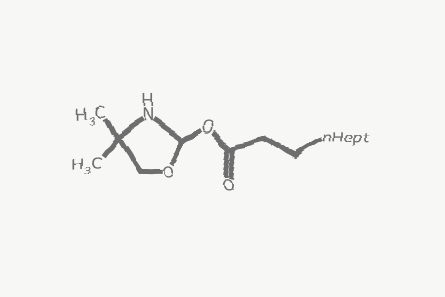 CCCCCCCCCC(=O)OC1NC(C)(C)CO1